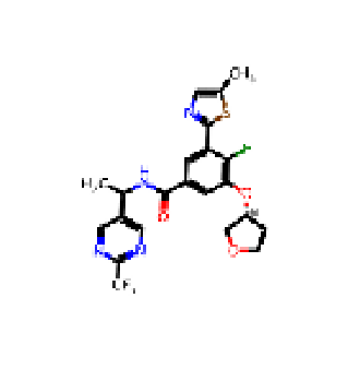 Cc1cnc(-c2cc(C(=O)NC(C)c3cnc(C(F)(F)F)nc3)cc(O[C@@H]3CCOC3)c2F)s1